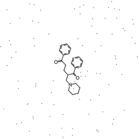 O=C(CCC(CN1CCCCC1)C(=O)c1ccccc1)c1ccccc1